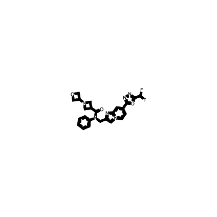 O=C(C1CN(C2COC2)C1)N(Cc1cn2ccc(-c3nnc(C(F)F)o3)cc2n1)c1ccccc1